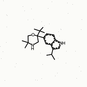 CC(C)c1c[nH]c2ccc(C3(C(C)(C)C)CNC(C)(C)CO3)cc12